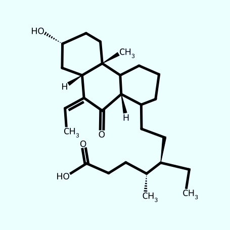 C/C=C1\C(=O)[C@H]2C(CC[C@@H](CC)[C@H](C)CCC(=O)O)CCCC2[C@@]2(C)CC[C@@H](O)C[C@@H]12